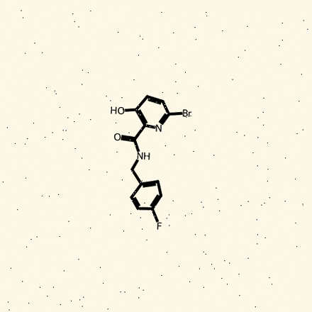 O=C(NCc1ccc(F)cc1)c1nc(Br)ccc1O